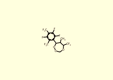 CC1C(c2c(F)c(F)c(C(F)(F)F)c(F)c2C(F)(F)F)OOCOC1C(F)(F)F